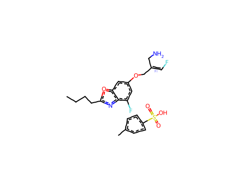 CCCCc1nc2c(F)cc(OC/C(=C/F)CN)cc2o1.Cc1ccc(S(=O)(=O)O)cc1